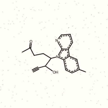 C#CC(O)C(CCC(C)=O)n1c2ccc(C)cc2c2cccnc21